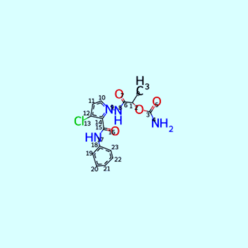 CC(OC(N)=O)C(=O)Nn1ccc(Cl)c1C(=O)Nc1ccccc1